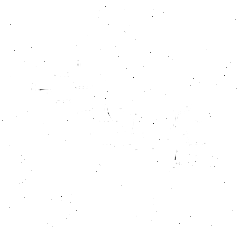 C=C1/C(=C\C=C2/CCC[C@]3(C)[C@@H](C(C)(C)/C=C/[C@H](O)C4(c5ncc(C)o5)CC4)CC[C@@H]23)C[C@@H](O)C[C@@H]1O